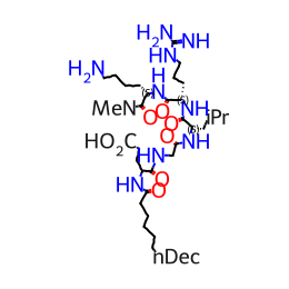 CCCCCCCCCCCCCCCC(=O)NC(CCC(=O)O)C(=O)NCC(=O)N[C@@H](CC(C)C)C(=O)N[C@@H](CCCNC(=N)N)C(=O)N[C@@H](CCCCN)C(=O)NC